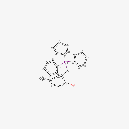 O=[N+]([O-])c1ccc(O)c(C[P](c2ccccc2)(c2ccccc2)c2ccccc2)c1